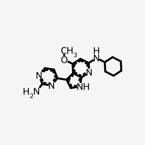 COc1cc(NC2CCCCC2)nc2[nH]cc(-c3ccnc(N)n3)c12